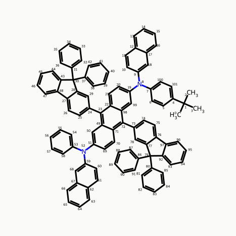 CC(C)(C)c1ccc(N(c2ccc3ccccc3c2)c2ccc3c(-c4ccc5c(c4)C(c4ccccc4)(c4ccccc4)c4ccccc4-5)c4cc(N(c5ccccc5)c5ccc6ccccc6c5)ccc4c(-c4ccc5c(c4)C(c4ccccc4)(c4ccccc4)c4ccccc4-5)c3c2)cc1